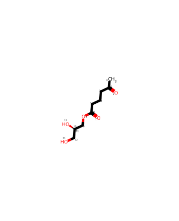 CC(=O)CCCC(=O)OC[C@H](O)CO